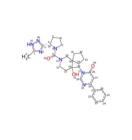 Cc1nc([C@@H]2CCCN2C(=O)N2CCC(O)(Cn3cnc(-c4ccccc4)cc3=O)C3(CCCC3)C2)n[nH]1